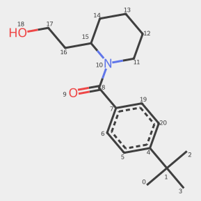 CC(C)(C)c1ccc(C(=O)N2CCCCC2CCO)cc1